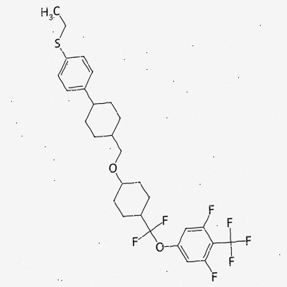 CCSc1ccc(C2CCC(COC3CCC(C(F)(F)Oc4cc(F)c(C(F)(F)F)c(F)c4)CC3)CC2)cc1